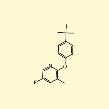 Cc1cc(F)cnc1Oc1ccc(C(C)(C)C)cc1